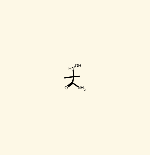 CC(C)(NO)C(N)=O